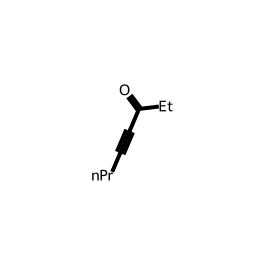 CCCC#CC(=O)CC